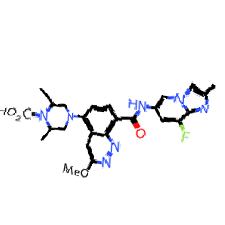 COc1cc2c(N3CC(C)N(C(=O)O)C(C)C3)ccc(C(=O)Nc3cc(F)c4nc(C)cn4c3)c2nn1